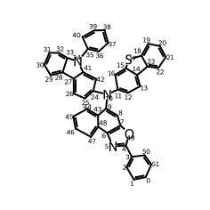 c1ccc(-c2nc3c(cc(N(c4ccc5c(c4)sc4ccccc45)c4ccc5c6ccccc6n(-c6ccccc6)c5c4)c4ccccc43)o2)cc1